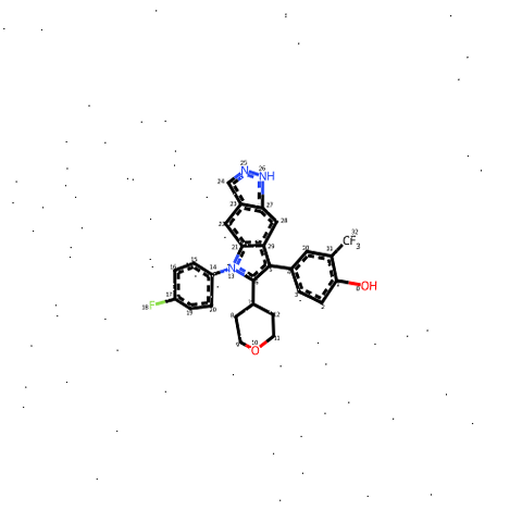 Oc1ccc(-c2c(C3CCOCC3)n(-c3ccc(F)cc3)c3cc4cn[nH]c4cc23)cc1C(F)(F)F